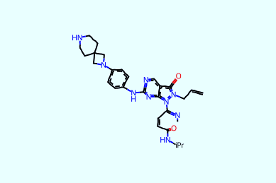 C=CCn1c(=O)c2cnc(Nc3ccc(N4CC5(CCNCC5)C4)cc3)nc2n1C(/C=C\C(=O)NC(C)C)=N/C